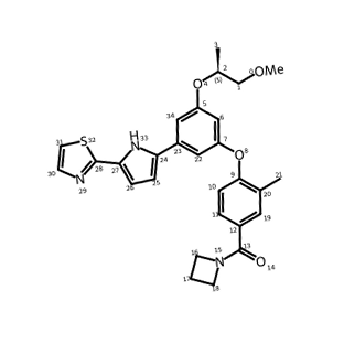 COC[C@H](C)Oc1cc(Oc2ccc(C(=O)N3CCC3)cc2C)cc(-c2ccc(-c3nccs3)[nH]2)c1